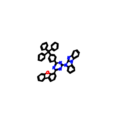 c1ccc([Si](c2ccccc2)(c2ccccc2)c2ccc(-c3nc(-c4cccc5c4oc4ccccc45)nc(-n4c5ccccc5n5c6ccccc6nc45)n3)cc2)cc1